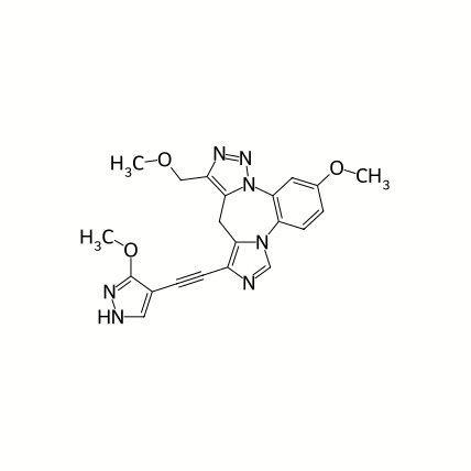 COCc1nnn2c1Cc1c(C#Cc3c[nH]nc3OC)ncn1-c1ccc(OC)cc1-2